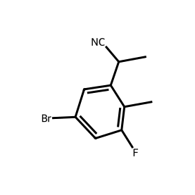 Cc1c(F)cc(Br)cc1C(C)C#N